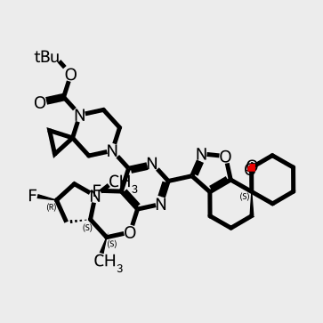 C[C@H](Oc1nc(-c2noc3c2CCC[C@@]32CCCCC23OCCO3)nc(N2CCN(C(=O)OC(C)(C)C)C3(CC3)C2)c1F)[C@@H]1C[C@@H](F)CN1C